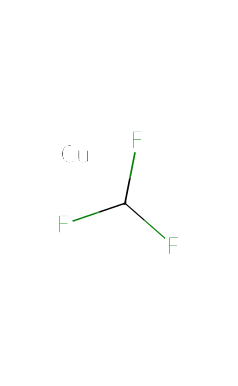 FC(F)F.[Cu]